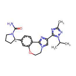 Cc1nc(-c2cn3c(n2)-c2ccc([C@H]4CCCN4C(N)=O)cc2OCC3)n(C(C)C)n1